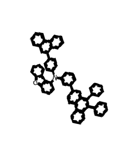 c1ccc(-c2c(-c3ccccc3)c3cc(-c4cccc(N(c5ccc(-c6cc7ccccc7c7ccccc67)cc5)c5cccc6oc7ccccc7c56)c4)ccc3c3ccccc23)cc1